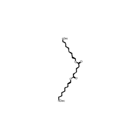 CCCCCCCCCCCCCCCCC=COC(=O)CCCCC(=O)OC=CCCCCCCCCCCCCCCCC